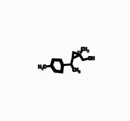 Cc1ccc(C(C)C2C[C@@]2(C)CO)cc1